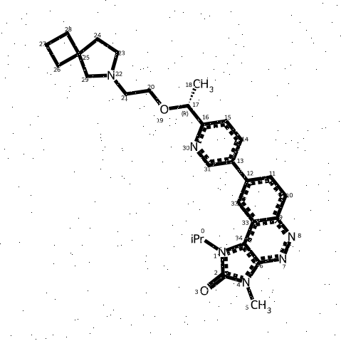 CC(C)n1c(=O)n(C)c2nnc3ccc(-c4ccc([C@@H](C)OCCN5CCC6(CCC6)C5)nc4)cc3c21